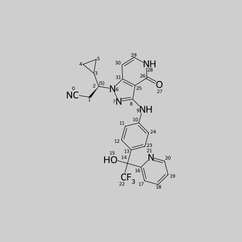 N#CC[C@@H](C1CC1)n1nc(Nc2ccc(C(O)(c3ccccn3)C(F)(F)F)cc2)c2c(=O)[nH]ccc21